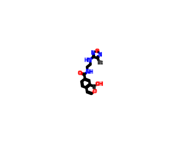 CCc1nonc1NCCNC(=O)c1ccc2c(c1)B(O)OC=C2